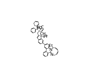 C/C=C\C(CC1=Cc2ccc(-c3ccc4c(c3)-c3ccccc3/C3=N/C/C=C\C=C/C(CC)N34)cc2C1(C)C(C)C)P(=O)(C1=CC=CCC1)c1ccccc1